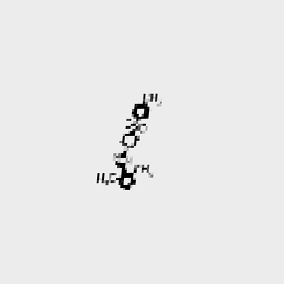 Cc1ccc(S(=O)(=O)C2CCN(c3nc(-c4c(C)cccc4C)cs3)CC2)cc1